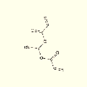 C=CC(=O)OC(CCCC)OC(=O)C=C